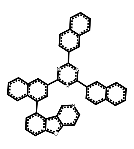 c1ccc2cc(-c3nc(-c4ccc5ccccc5c4)nc(-c4cc(-c5cccc6oc7ccncc7c56)c5ccccc5c4)n3)ccc2c1